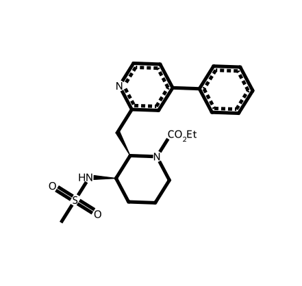 CCOC(=O)N1CCC[C@@H](NS(C)(=O)=O)[C@H]1Cc1cc(-c2ccccc2)ccn1